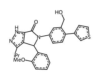 COc1ccccc1C1c2c(C(C)C)n[nH]c2C(=O)N1c1ccc(-c2ccsc2)c(CO)c1